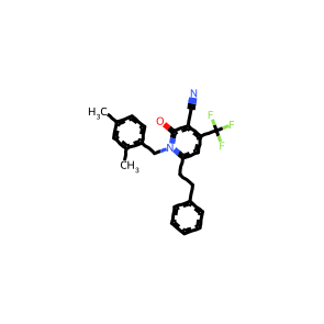 Cc1ccc(Cn2c(CCc3ccccc3)cc(C(F)(F)F)c(C#N)c2=O)c(C)c1